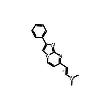 CN(C)/C=C/c1ccn2cc(-c3ccccc3)nc2n1